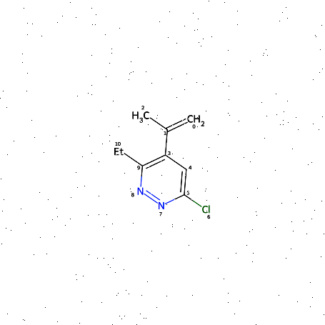 C=C(C)c1cc(Cl)nnc1CC